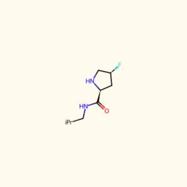 CC(C)CNC(=O)[C@@H]1C[C@H](F)CN1